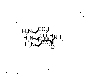 NC(N)=O.NCC(=O)O.NCC(=O)O.NCC(=O)O